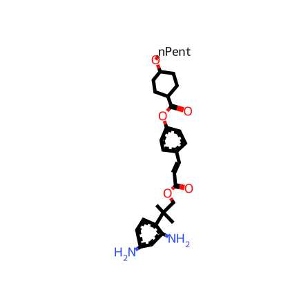 CCCCCOC1CCC(C(=O)Oc2ccc(/C=C/C(=O)OCC(C)(C)c3ccc(N)cc3N)cc2)CC1